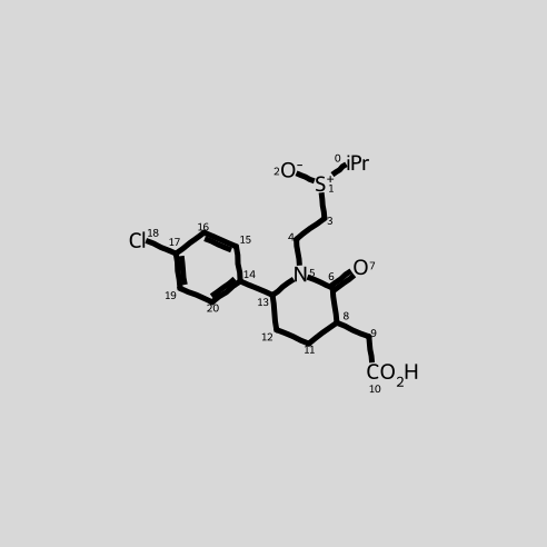 CC(C)[S+]([O-])CCN1C(=O)C(CC(=O)O)CCC1c1ccc(Cl)cc1